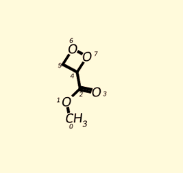 COC(=O)C1COO1